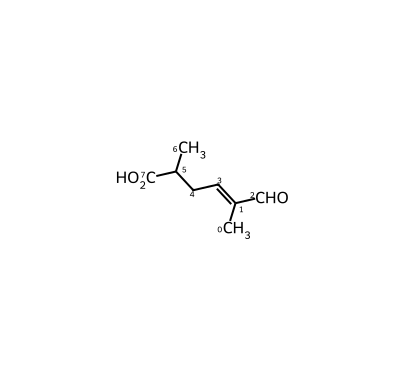 C/C(C=O)=C\CC(C)C(=O)O